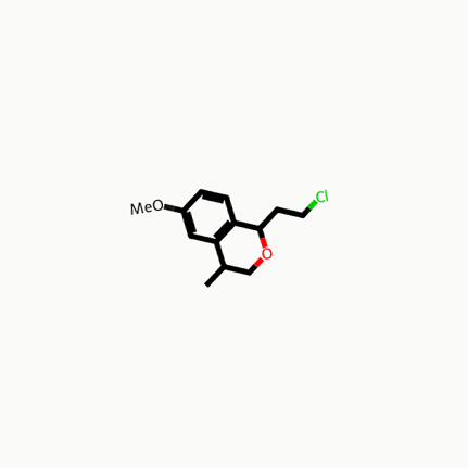 COc1ccc2c(c1)C(C)COC2CCCl